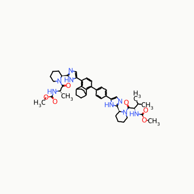 COC(=O)N[C@@H](C)C(=O)N1CCCC[C@H]1c1ncc(-c2ccc(-c3ccc(-c4cnc([C@@H]5CCCCN5C(=O)[C@@H](NC(=O)OC)C(C)C)[nH]4)cc3)c3c2C2CCC3CC2)[nH]1